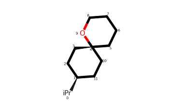 CC(C)[C@H]1CC[C@@]2(CCCCO2)CC1